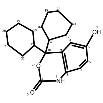 O=C1Nc2ccc(O)cc2C(C2CCCCC2)(C2CCCCC2)O1